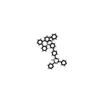 c1ccc(C2=NC(c3ccccc3)NC(c3ccc(-c4cccc(N5c6ccccc6-c6ccccc6-c6ccc7c([nH]c8ccccc87)c65)c4)cc3)=N2)cc1